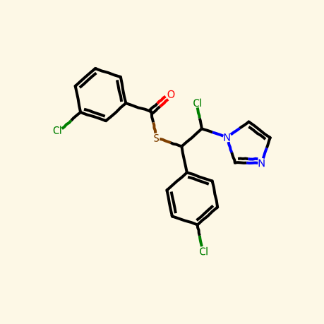 O=C(SC(c1ccc(Cl)cc1)C(Cl)n1ccnc1)c1cccc(Cl)c1